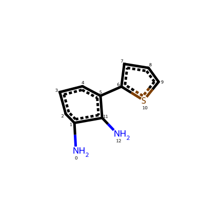 Nc1cccc(-c2cccs2)c1N